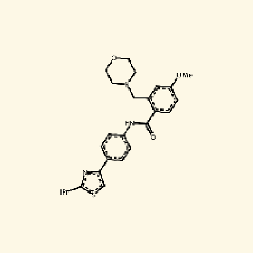 COc1ccc(C(=O)Nc2ccc(-c3csc(C(C)C)n3)cc2)c(CN2CCOCC2)c1